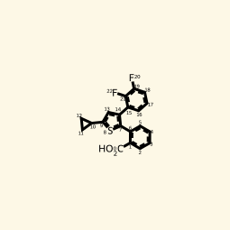 O=C(O)c1ccccc1-c1sc(C2CC2)cc1-c1cccc(F)c1F